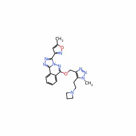 Cc1cc(-c2nnc3c4ccccc4c(OCc4nnn(C)c4CCN4CCC4)nn23)no1